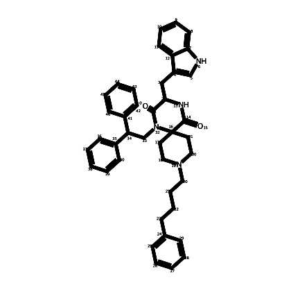 O=C1C(Cc2c[nH]c3ccccc23)NC(=O)C2(CCN(CCCCc3ccccc3)CC2)N1CC(c1ccccc1)c1ccccc1